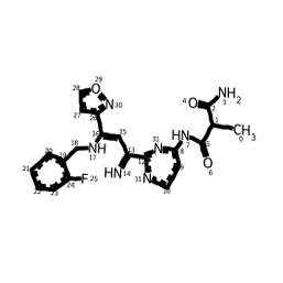 CC(C(N)=O)C(=O)Nc1ccnc(C(=N)/C=C(\NCc2ccccc2F)c2ccon2)n1